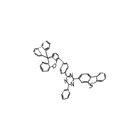 C1=CC2c3ccccc3C3(c4ccccc4Oc4c(-c5ccc(-c6nc(-c7ccccc7)nc(-c7ccc8c(c7)sc7ccccc78)n6)cc5)cccc43)C2C=C1